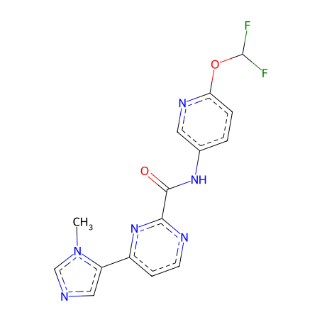 Cn1cncc1-c1ccnc(C(=O)Nc2ccc(OC(F)F)nc2)n1